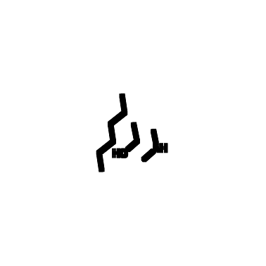 CCCCCC.CCO.CNC